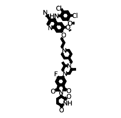 COc1cc(Nc2c(C#N)cnc3cc(OCCCN4CCC(CN5C(C)CN(c6cc7c(cc6F)C(=O)N(C6CCC(=O)NC6=O)C7=O)CC5C)CC4)c(OC)cc23)c(Cl)cc1Cl